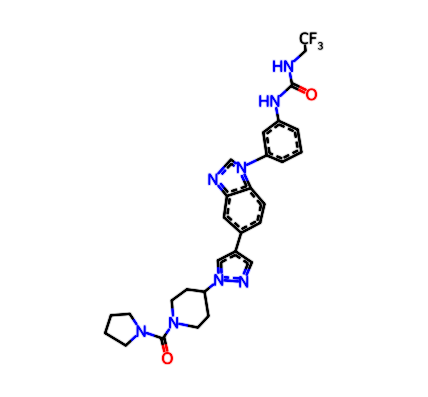 O=C(NCC(F)(F)F)Nc1cccc(-n2cnc3cc(-c4cnn(C5CCN(C(=O)N6CCCC6)CC5)c4)ccc32)c1